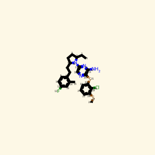 CCC1CCC(CCc2ccc(F)cc2C)N1c1cnc(Sc2cccc(SC)c2Cl)c(N)n1